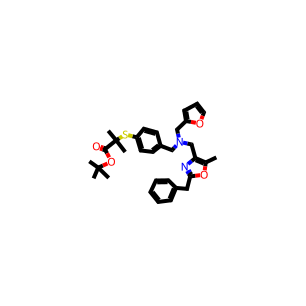 Cc1oc(Cc2ccccc2)nc1CN(Cc1ccc(SC(C)(C)C(=O)OC(C)(C)C)cc1)Cc1ccco1